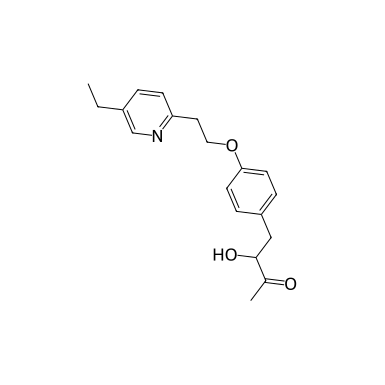 CCc1ccc(CCOc2ccc(CC(O)C(C)=O)cc2)nc1